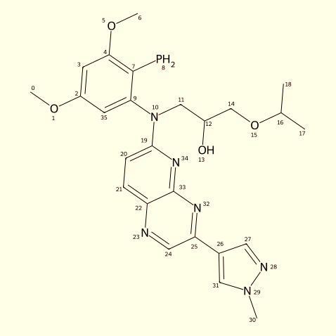 COc1cc(OC)c(P)c(N(CC(O)COC(C)C)c2ccc3ncc(-c4cnn(C)c4)nc3n2)c1